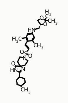 Cc1cc(NC[C@H]2COC(C)(C)O2)cc(C)c1/C=C/S(=O)(=O)N1CCC2(CC1)N=C(C1CCC(C)CC1)NC2=O